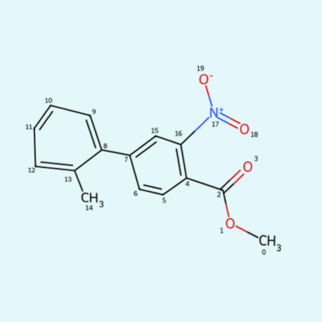 COC(=O)c1ccc(-c2ccccc2C)cc1[N+](=O)[O-]